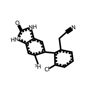 [3H]c1cc2[nH]c(=O)[nH]c2cc1-c1c(Cl)cccc1CC#N